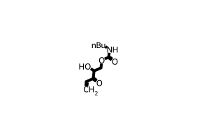 C=CC(=O)C(O)COC(=O)NCCCC